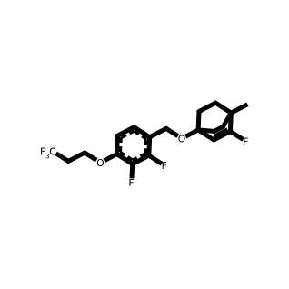 CC12CCC(OCc3ccc(OCCC(F)(F)F)c(F)c3F)(C=C1F)CC2